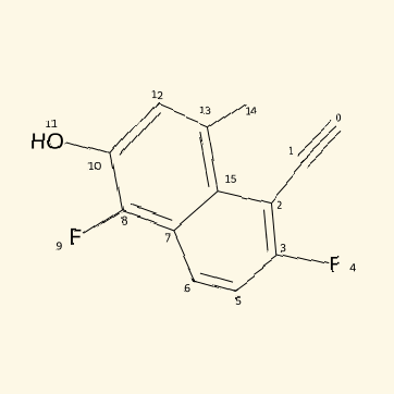 C#Cc1c(F)ccc2c(F)c(O)cc(C)c12